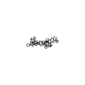 O=C1CCc2cc(Cl)c(-c3snc4c(=O)n(CC5(O)CCN(C(=O)CC(C(F)F)n6ccc(Cl)n6)CC5)cnc34)cc21